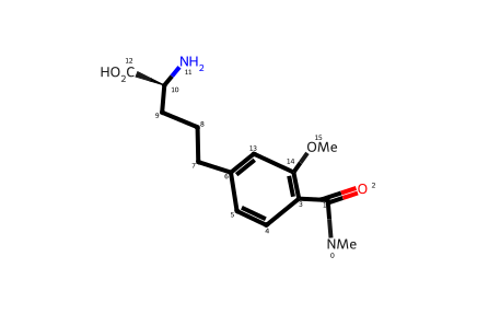 CNC(=O)c1ccc(CCC[C@H](N)C(=O)O)cc1OC